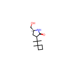 CC1(C(C)(C)C2C[C@@H](CO)NC2=O)CCC1